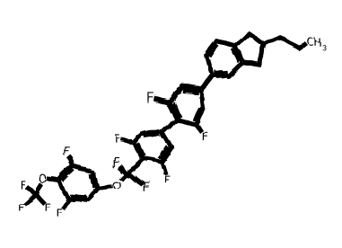 CCCC1Cc2ccc(-c3cc(F)c(-c4cc(F)c(C(F)(F)Oc5cc(F)c(OC(F)(F)F)c(F)c5)c(F)c4)c(F)c3)cc2C1